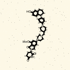 COc1cc(N2CCN(CC3CCN(c4ccc([C@@H]5CCCc6cc(O)ccc65)cc4)CC3)CC2)cc2c1C(=O)N(C1CCC(=O)NC1=O)C2